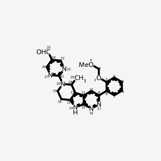 COCOc1ccccc1-c1cc2c3c([nH]c2nn1)CCN(c1ncc(C=O)cn1)C3C